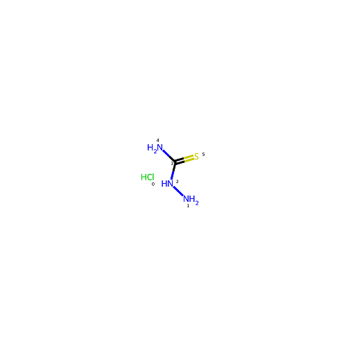 Cl.NNC(N)=S